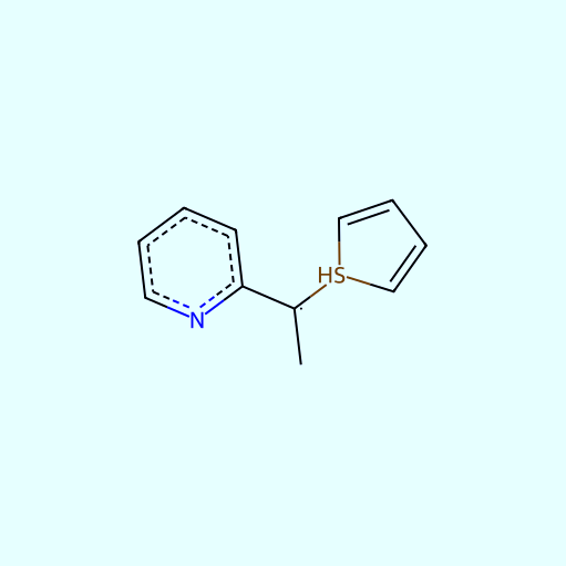 C[C](c1ccccn1)[SH]1C=CC=C1